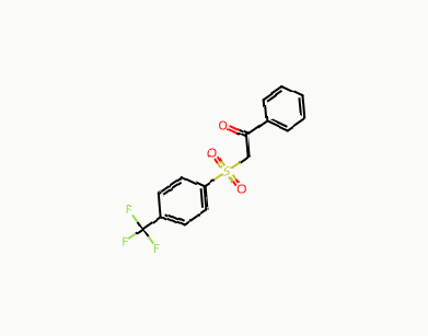 O=C(CS(=O)(=O)c1ccc(C(F)(F)F)cc1)c1ccccc1